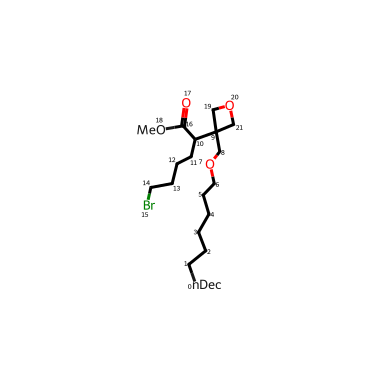 CCCCCCCCCCCCCCCCOCC1(C(CCCCBr)C(=O)OC)COC1